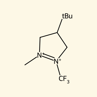 C[N+]1=[N+](C(F)(F)F)CC(C(C)(C)C)C1